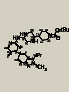 CC(C)c1c2cc(-c3nc(NC4CNC(C5CCN(C(=O)OC(C)(C)C)CC5)CN4)ncc3F)ccc2nn1C